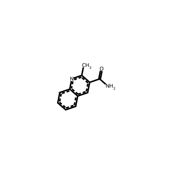 Cc1nc2[c]cccc2cc1C(N)=O